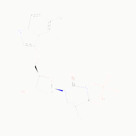 Cc1cn([C@H]2C[C@H](O)[C@@H](COc3c[nH]c4ccc(Br)c(Cl)c34)O2)c(=O)n(OP(=O)(O)O)c1=O